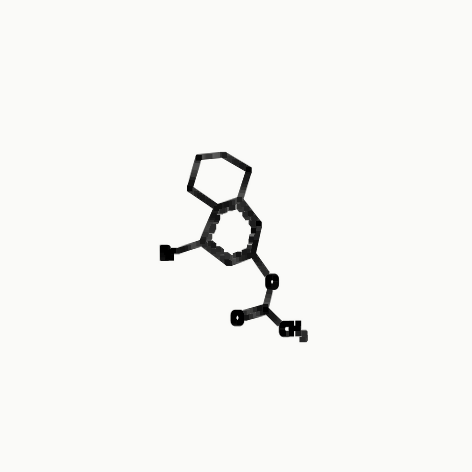 CC(=O)Oc1cc(Br)c2c(c1)CCCC2